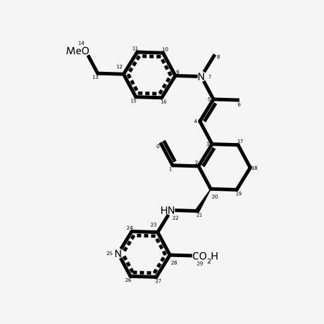 C=CC1=C(/C=C(\C)N(C)c2ccc(COC)cc2)CCC[C@H]1CNc1cnccc1C(=O)O